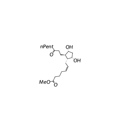 CCCCCC(=O)CC[C@@H]1[C@@H](C/C=C\CCCC(=O)OC)[C@@H](O)C[C@H]1O